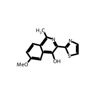 COc1ccc2c(C)nc(-c3nccs3)c(O)c2c1